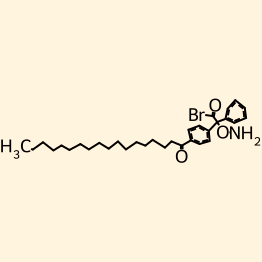 CCCCCCCCCCCCCCCCCC(=O)c1ccc(C(ON)(C(=O)Br)c2ccccc2)cc1